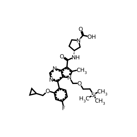 Cc1c(C(=O)N[C@@H]2CCN(C(=O)O)C2)c2ncnc(-c3ccc(F)cc3OCC3CC3)c2n1COCC[Si](C)(C)C